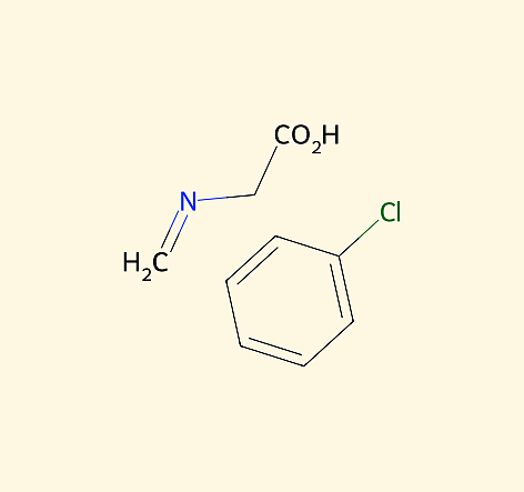 C=NCC(=O)O.Clc1ccccc1